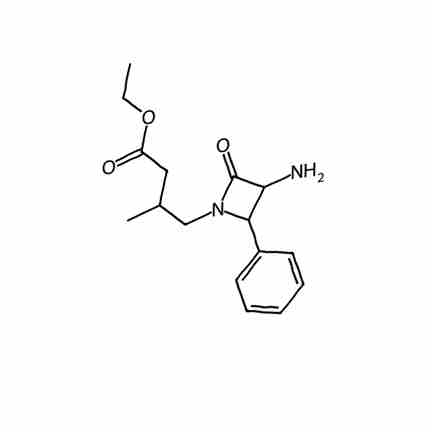 CCOC(=O)CC(C)CN1C(=O)C(N)C1c1ccccc1